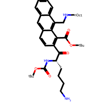 CCCCCCCCNCc1c2ccccc2cc2ccc(C(=O)[C@H](CCCCN)NC(=O)OC(C)(C)C)c(C(=O)OC(C)(C)C)c12